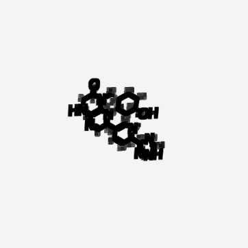 O=C1CNc2ncc(-c3ccc(-c4nc[nH]n4)nc3)nc2N1C[C@H]1CC[C@H](O)CC1